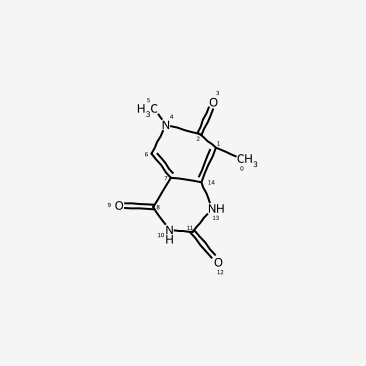 Cc1c(=O)n(C)cc2c(=O)[nH]c(=O)[nH]c12